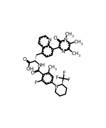 Cc1cc(N2CCCC[C@@H]2C(F)(F)F)cc(F)c1C(=O)N[C@@H](Cc1ccc(-c2nc(C)c(C)n(C)c2=O)c2ncccc12)C(=O)O